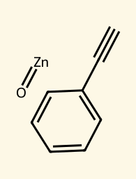 C#Cc1ccccc1.[O]=[Zn]